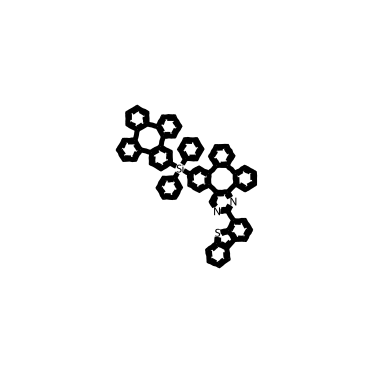 c1ccc([Si](c2ccccc2)(c2ccc3c(c2)-c2ccccc2-c2ccccc2-c2ccccc2-3)c2ccc3c(c2)-c2ccccc2-c2ccccc2-c2nc(-c4cccc5c4sc4ccccc45)ncc2-3)cc1